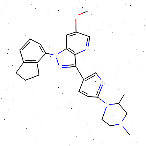 COc1cnc2c(-c3ccc(N4CCN(C)CC4C)nc3)nn(-c3cccc4c3CCC4)c2c1